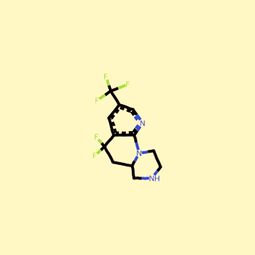 FC(F)(F)c1cnc2c(c1)C(F)(F)CC1CNCCN21